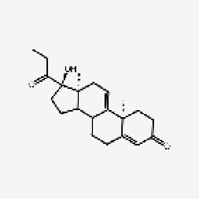 CCC(=O)[C@@]1(O)CCC2C3CCC4=CC(=O)CC[C@]4(C)C3=CC[C@@]21C